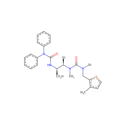 CC[C@H]([C@H](NC(=O)N(c1ccccc1)c1ccccc1)C(=O)O)N(C)C(=O)N(CC)Cc1sccc1C